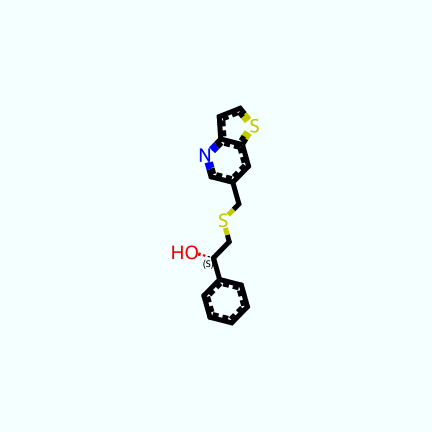 O[C@H](CSCc1cnc2ccsc2c1)c1ccccc1